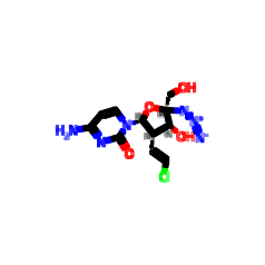 [N-]=[N+]=N[C@]1(CO)O[C@@H](n2ccc(N)nc2=O)[C@@H](C=CCl)[C@@H]1O